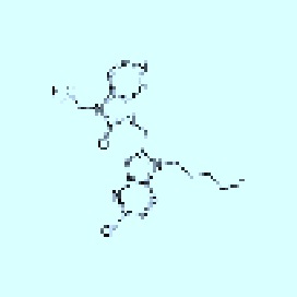 O=c1n(Cc2cc3nc(Cl)ccc3n2CCCCF)c2cnccc2n1CC(F)(F)F